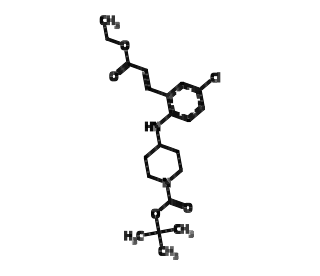 CCOC(=O)/C=C/c1cc(Cl)ccc1NC1CCN(C(=O)OC(C)(C)C)CC1